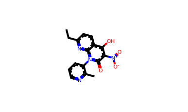 CCc1ccc2c(O)c([N+](=O)[O-])c(=O)n(-c3cccnc3C)c2n1